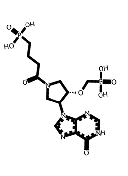 O=C(CCCP(=O)(O)O)N1CC(n2cnc3c(=O)[nH]cnc32)[C@@H](OCP(=O)(O)O)C1